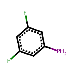 Fc1cc(F)cc(P)c1